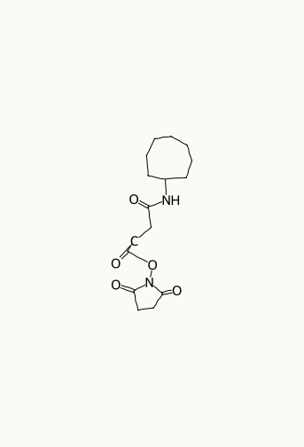 O=C(CCC(=O)ON1C(=O)CCC1=O)NC1CCCCCCC1